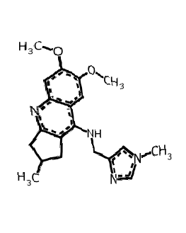 COc1cc2nc3c(c(NCc4cn(C)cn4)c2cc1OC)CC(C)C3